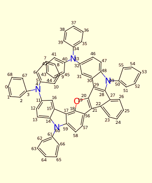 c1ccc(N(c2ccccc2)c2ccc3c(c2)c2c4oc5c(c6ccccc6c6c5c5cc(N(c7ccccc7)c7ccccc7)ccc5n6-c5ccccc5)c4ccc2n3-c2ccccc2)cc1